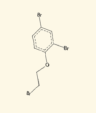 BrCCOc1ccc(Br)cc1Br